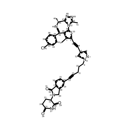 Cc1c(C#Cc2cnn(CCCC#Cc3ccc4c(c3)CN(C3CCC(=O)NC3=O)C4=O)c2)sc2c1C(c1ccc(Cl)cc1)=N[C@@H](C)c1nnc(C)n1-2